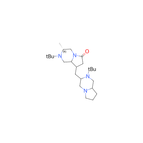 C[C@@H]1CN2C(=O)CC(CC3CN4CCCC4CN3C(C)(C)C)C2CN1C(C)(C)C